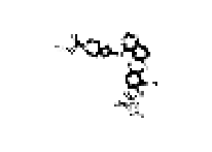 CCN(C)S(=O)(=O)Nc1ccc(F)c(Oc2ccc3ncnc(OC4CC5(CCN(C(=O)OC(C)(C)C)CC5)C4)c3c2)c1C#N